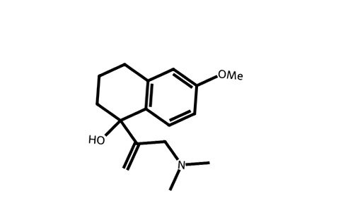 C=C(CN(C)C)C1(O)CCCc2cc(OC)ccc21